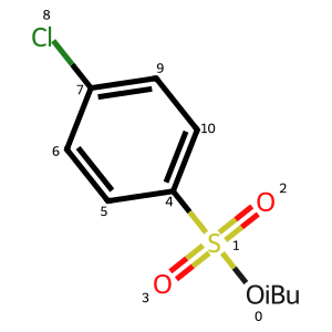 C[C](C)COS(=O)(=O)c1ccc(Cl)cc1